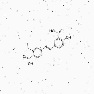 CCc1cc(N=Nc2ccc(O)c(C(=O)O)c2)ccc1C(=O)O